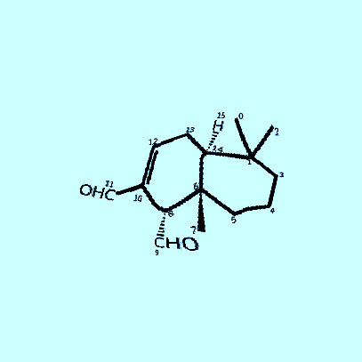 CC1(C)CCC[C@]2(C)[C@H](C=O)C(C=O)=CC[C@@H]12